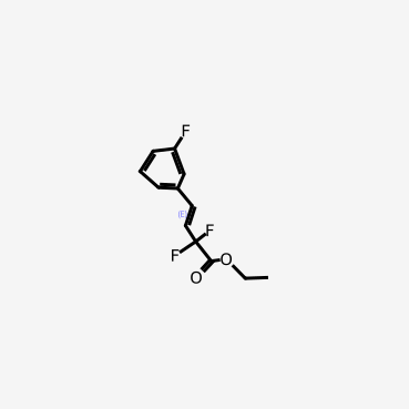 CCOC(=O)C(F)(F)/C=C/c1cccc(F)c1